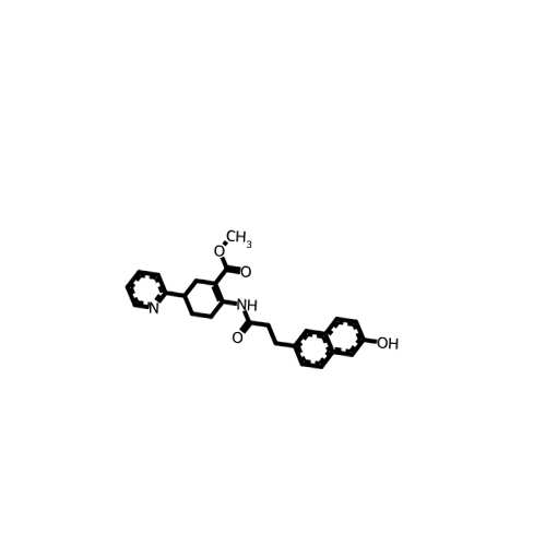 COC(=O)C1=C(NC(=O)CCc2ccc3cc(O)ccc3c2)CCC(c2ccccn2)C1